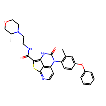 Cc1cc(Oc2ccccc2)ccc1N1C(=O)Nc2c(C(=O)NCCN3CCOC[C@H]3C)sc3nccc1c23